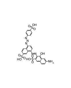 Nc1ccc2cc(S(=O)(=O)O)c(/N=N/c3ccc(/N=N/[N]c4ccc(S(=O)(=O)O)cc4)c4ccc(S(=O)(=O)O)cc34)c(O)c2c1